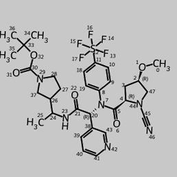 CO[C@@H]1C[C@H](C(=O)N(c2ccc(S(F)(F)(F)(F)F)cc2)[C@@H](C(=O)NC(C)C2CCN(C(=O)OC(C)(C)C)C2)c2cccnc2)N(C#N)C1